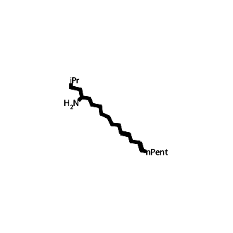 CCCCCC=CCC=CCCCCCCCC(N)CCC(C)C